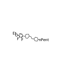 CCCCCC1CCC(CCC2CCC(c3ccc(OCC)c(F)c3F)CC2)CC1